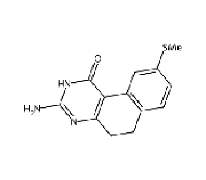 CSc1ccc2c(c1)-c1c(nc(N)[nH]c1=O)CC2